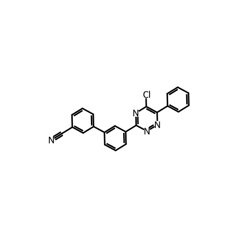 N#Cc1cccc(-c2cccc(-c3nnc(-c4ccccc4)c(Cl)n3)c2)c1